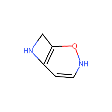 C1=CC2=C(CN2)ON1